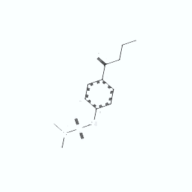 CCCC(=O)c1ccc(NS(=O)(=O)N(C)C)cc1